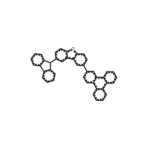 c1ccc2c(c1)-c1ccccc1C2c1ccc2oc3ccc(-c4ccc5c6ccccc6c6ccccc6c5c4)cc3c2c1